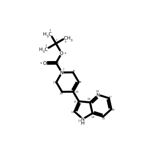 CC(C)(C)OC(=O)N1CC=C(c2c[nH]c3cccnc23)CC1